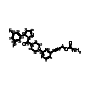 NC(=O)OCC#Cc1ccnc(N2CCN(C(=O)N3N=CCC3c3cc(F)cc(F)c3)CC2)n1